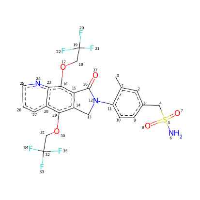 Cc1cc(CS(N)(=O)=O)ccc1N1Cc2c(c(OCC(F)(F)F)c3ncccc3c2OCC(F)(F)F)C1=O